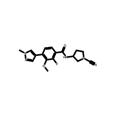 COc1c(-c2cnn(C)c2)ccc(C(=O)NC2CCN(C#N)C2)c1F